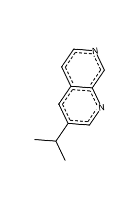 CC(C)c1cnc2cnccc2c1